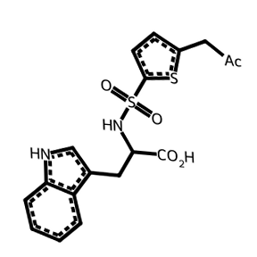 CC(=O)Cc1ccc(S(=O)(=O)NC(Cc2c[nH]c3ccccc23)C(=O)O)s1